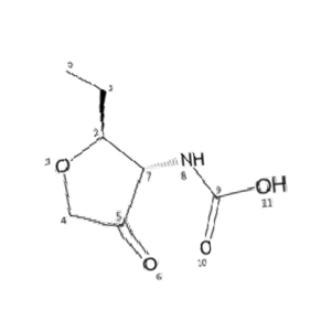 CC[C@@H]1OCC(=O)[C@H]1NC(=O)O